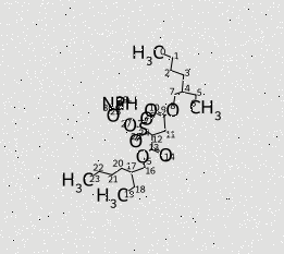 CCCCC(CC)COC(=O)CC(C(=O)OCC(CC)CCCC)S(=O)(=O)[O-].O=P.[Na+]